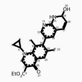 CCOC(=O)c1cn(C2CC2)c2c(C)c(-c3cnc4c(c3)C=CC(O)N4)c(F)cc2c1=O